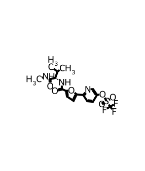 CNC(=O)[C@@H](NC(=O)c1ccc(-c2ccc(OS(=O)(=O)C(F)(F)F)cn2)o1)C(C)C